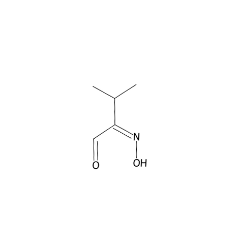 CC(C)C(C=O)=NO